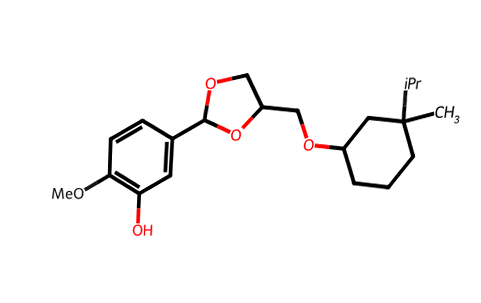 COc1ccc(C2OCC(COC3CCCC(C)(C(C)C)C3)O2)cc1O